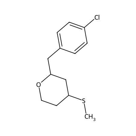 CSC1CCOC(Cc2ccc(Cl)cc2)C1